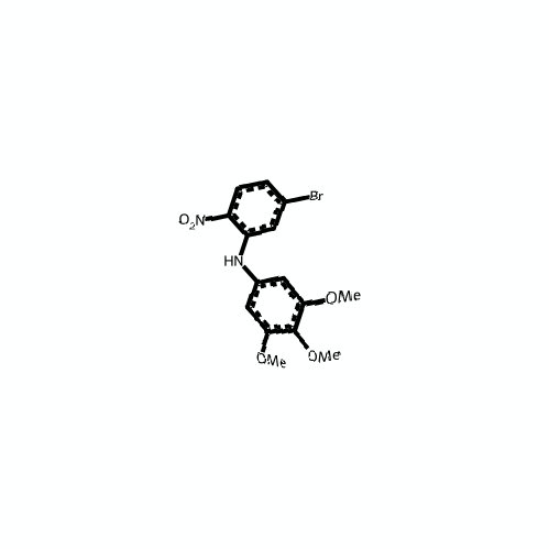 COc1cc(Nc2cc(Br)ccc2[N+](=O)[O-])cc(OC)c1OC